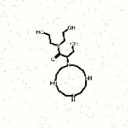 O=C(C(CO)N1CCNCCNCCNCC1)N(CCO)CCO